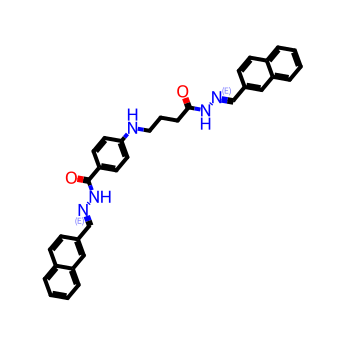 O=C(CCCNc1ccc(C(=O)N/N=C/c2ccc3ccccc3c2)cc1)N/N=C/c1ccc2ccccc2c1